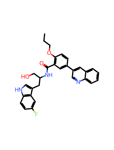 CCCOc1ccc(-c2cnc3ccccc3c2)cc1C(=O)NC(CO)Cc1c[nH]c2ccc(F)cc12